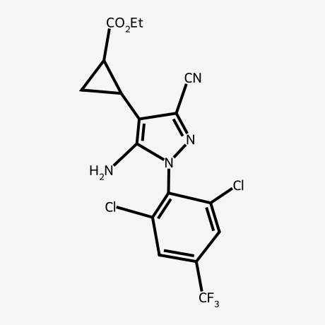 CCOC(=O)C1CC1c1c(C#N)nn(-c2c(Cl)cc(C(F)(F)F)cc2Cl)c1N